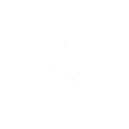 CN1CCC(C2(O)C(=O)Nc3ccc(Br)cc32)C1=O